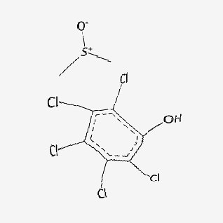 C[S+](C)[O-].Oc1c(Cl)c(Cl)c(Cl)c(Cl)c1Cl